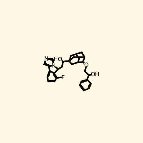 OC(COC1C2CC3CC1CC(C(O)CC1c4c(F)cccc4-c4cncn41)(C3)C2)c1ccccc1